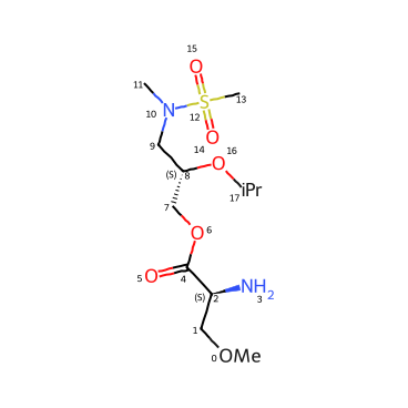 COC[C@H](N)C(=O)OC[C@H](CN(C)S(C)(=O)=O)OC(C)C